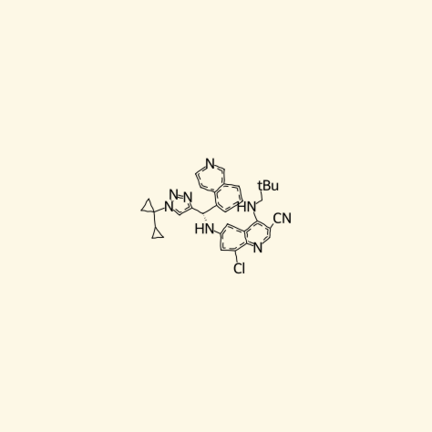 CC(C)(C)CNc1c(C#N)cnc2c(Cl)cc(N[C@H](c3cn(C4(C5CC5)CC4)nn3)c3cccc4cnccc34)cc12